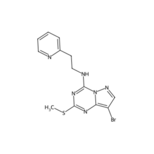 CSc1nc(NCCc2ccccn2)n2ncc(Br)c2n1